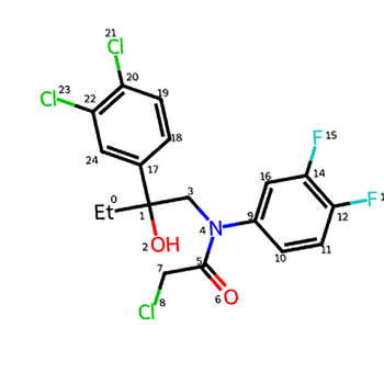 [CH2]CC(O)(CN(C(=O)CCl)c1ccc(F)c(F)c1)c1ccc(Cl)c(Cl)c1